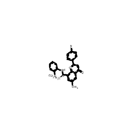 Cc1cc([C@@H](C)Nc2ccccc2C(=O)O)c2oc(-c3ccc(F)cc3)cc(=O)c2c1